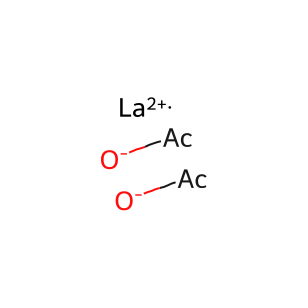 CC(=O)[O-].CC(=O)[O-].[La+2]